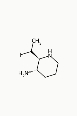 CC(I)[C@H]1NCCC[C@@H]1N